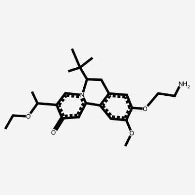 CCOC(C)c1cn2c(cc1=O)-c1cc(OC)c(OCCN)cc1CC2C(C)(C)C